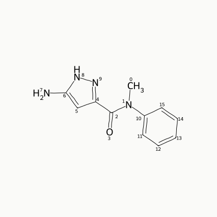 CN(C(=O)c1cc(N)[nH]n1)c1ccccc1